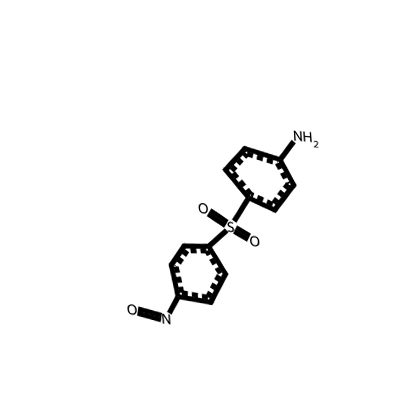 Nc1ccc(S(=O)(=O)c2ccc(N=O)cc2)cc1